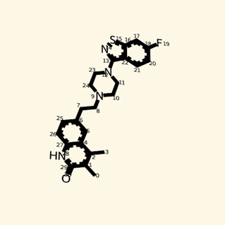 Cc1c(C)c2cc(CCN3CCN(c4nsc5cc(F)ccc45)CC3)ccc2[nH]c1=O